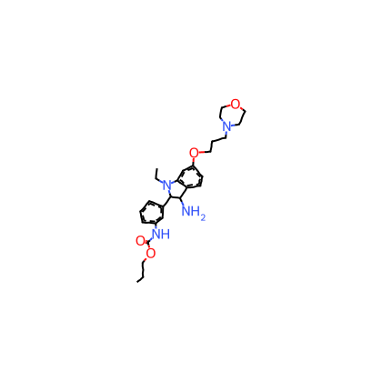 CCCOC(=O)Nc1cccc(C2C(N)c3ccc(OCCCN4CCOCC4)cc3N2CC)c1